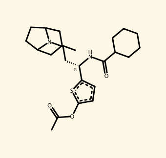 CC(=O)Oc1ccc([C@H](CCN2C3CCC2CC(C)C3)NC(=O)C2CCCCC2)s1